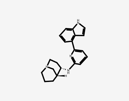 c1cc(N[C@H]2CCN3CCC[C@@H]2C3)nc(-c2cccc3[nH]ccc23)c1